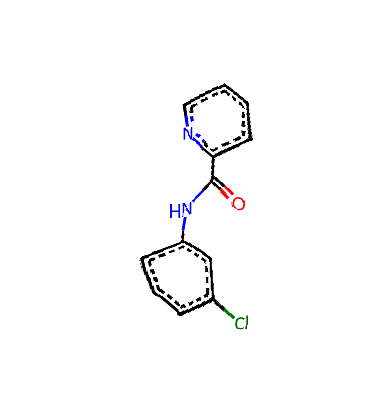 O=C(Nc1cccc(Cl)c1)c1ccccn1